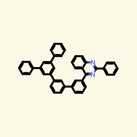 c1ccc(-c2cc(-c3ccccc3)cc(-c3cccc(-c4cccc(-c5nc(-c6ccccc6)nc6ccccc56)c4)c3)c2)cc1